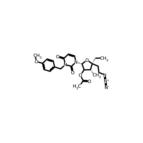 CC[C@@]1(CCN=[N+]=[N-])O[C@@H](n2ccc(=O)n(Cc3ccc(OC)cc3)c2=O)C(OC(C)=O)[C@H]1C